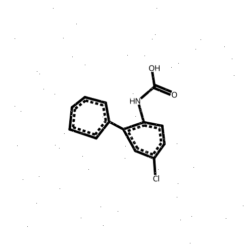 O=C(O)Nc1ccc(Cl)cc1-c1ccccc1